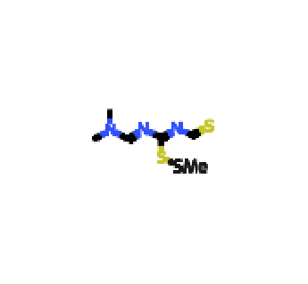 CSSC(=N\C=S)/N=C/N(C)C